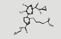 CNC(=O)CCCOc1cc(C(=O)NCC(C)(C)C)ccc1-c1cc(C(=O)NC2CC2)cc(F)c1C